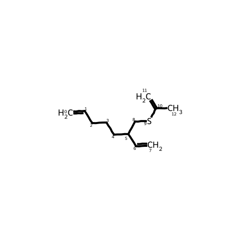 C=CCCCC(C=C)CSC(=C)C